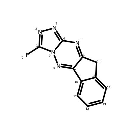 Ic1nnc2nc3c(nn12)-c1ccccc1C3